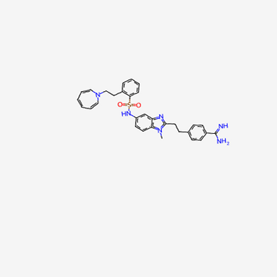 Cn1c(CCc2ccc(C(=N)N)cc2)nc2cc(NS(=O)(=O)c3ccccc3CCN3C=CC=CC=C3)ccc21